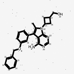 Cc1c(-c2cccc(OCc3ccccc3)c2)c2c(N)ncnc2n1C1CC(CO)C1